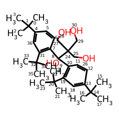 CC(C)(C)c1ccc(C(O)(c2ccc(C(C)(C)C)cc2C(C)(C)C)C(CO)(CO)CO)c(C(C)(C)C)c1